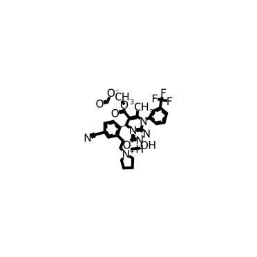 COC(=O)C1=C(C)N(c2cccc(C(F)(F)F)c2)c2n[nH]c(=O)n2[C@@H]1c1ccc(C#N)cc1CC[N+]1(CCO)CCCC1.O=C[O-]